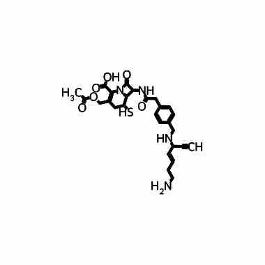 C#CC(C=CCCN)NCc1ccc(CC(=O)NC2C(=O)N3C(C(=O)O)=C(COC(C)=O)CC(S)C23)cc1